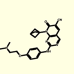 CN(C)CCOc1ccc(Nc2ncc3cc(C#N)c(=O)n(C45CC(C4)C5)c3n2)cc1